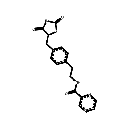 O=C1NC(=O)C(Cc2ccc(CCNC(=O)c3cnccn3)cc2)S1